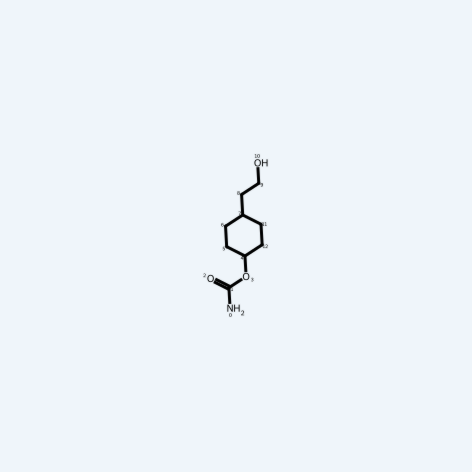 NC(=O)OC1CCC(CCO)CC1